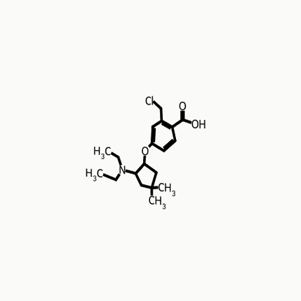 CCN(CC)C1CC(C)(C)CC1Oc1ccc(C(=O)O)c(CCl)c1